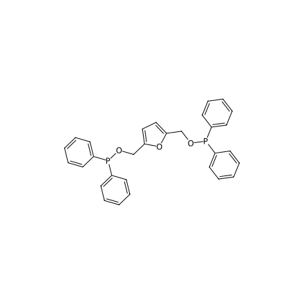 c1ccc(P(OCc2ccc(COP(c3ccccc3)c3ccccc3)o2)c2ccccc2)cc1